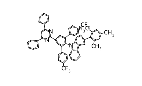 Cc1cc(C)c(-c2ccc3c(c2)c2ccccc2n3-c2c(-c3ccc(C(F)(F)F)cc3)cc(-c3nc(-c4ccccc4)cc(-c4ccccc4)n3)cc2-c2ccc(C(F)(F)F)cc2)c(C)c1